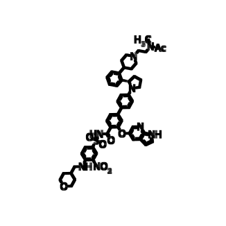 CC(=O)N(C)CCN1CCC(c2ccccc2[C@H]2CCCN2c2ccc(-c3ccc(C(=O)NS(=O)(=O)c4ccc(NCC5CCOCC5)c([N+](=O)[O-])c4)c(Oc4cnc5[nH]ccc5c4)c3)cc2)CC1